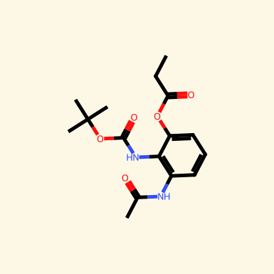 CCC(=O)Oc1cccc(NC(C)=O)c1NC(=O)OC(C)(C)C